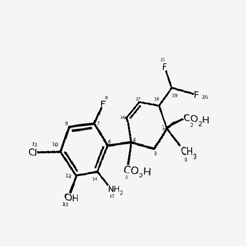 CC1(C(=O)O)CC(C(=O)O)(c2c(F)cc(Cl)c(O)c2N)C=CC1C(F)F